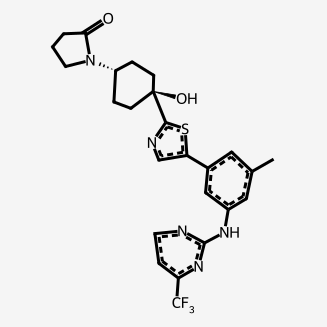 Cc1cc(Nc2nccc(C(F)(F)F)n2)cc(-c2cnc([C@]3(O)CC[C@H](N4CCCC4=O)CC3)s2)c1